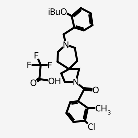 Cc1c(Cl)cccc1C(=O)N1CCC2(CCN(Cc3ccccc3OCC(C)C)CC2)C1.O=C(O)C(F)(F)F